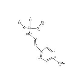 CCOP(=O)(NC=Cc1ccc(OC)cc1)OCC